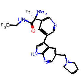 CC(C)[C@@](N)(C(=O)NCC(F)(F)F)c1cncc(-c2c[nH]c3ncc(CN4CCCC4)cc23)c1